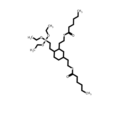 CCCCCC(=O)SCCC1CCC(CC[Si](OCC)(OCC)OCC)C(CCSC(=O)CCCCC)C1